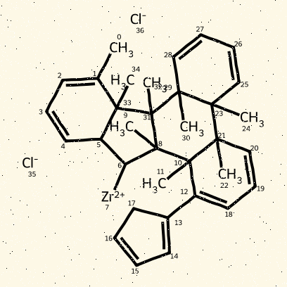 CC1=CC=CC2[CH]([Zr+2])C3(C)C4(C)C(C5=CC=CC5)=CC=CC4(C)C4(C)C=CC=CC4(C)C3(C)C12C.[Cl-].[Cl-]